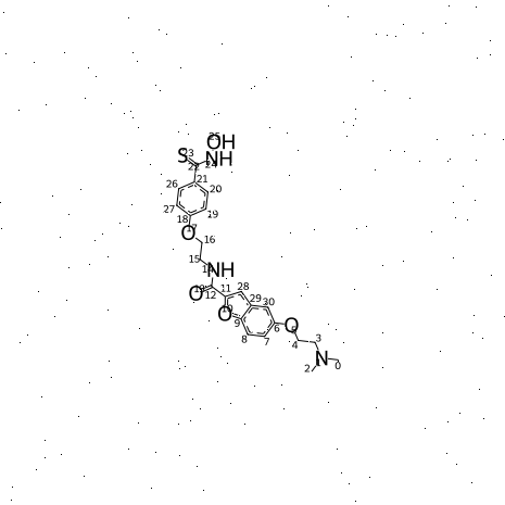 CN(C)CCOc1ccc2oc(C(=O)NCCOc3ccc(C(=S)NO)cc3)cc2c1